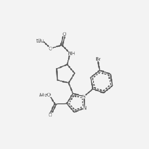 COC(=O)c1cnn(-c2cccc(Br)c2)c1C1CCC(NC(=O)OC(C)(C)C)C1